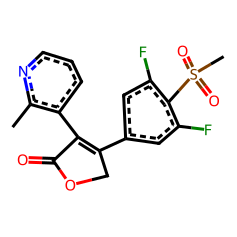 Cc1ncccc1C1=C(c2cc(F)c(S(C)(=O)=O)c(F)c2)COC1=O